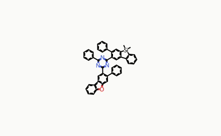 C[Si]1(C)c2ccccc2-c2cc(-c3nc(-c4ccccc4)nc(-c4cc5c(cc4-c4ccccc4)oc4ccccc45)n3)c(-c3ccccc3)cc21